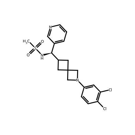 CS(=O)(=O)N[C@@H](c1cccnc1)C1CC2(C1)CN(c1ccc(Cl)c(Cl)c1)C2